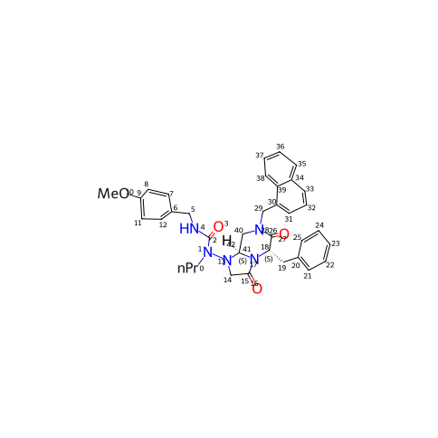 CCCN(C(=O)NCc1ccc(OC)cc1)N1CC(=O)N2[C@@H](Cc3ccccc3)C(=O)N(Cc3cccc4ccccc34)C[C@@H]21